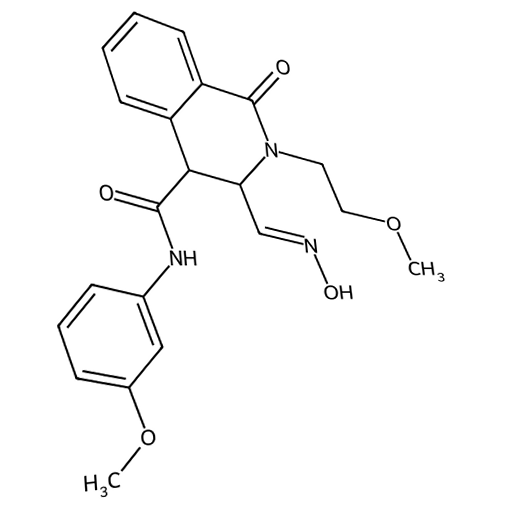 COCCN1C(=O)c2ccccc2C(C(=O)Nc2cccc(OC)c2)C1C=NO